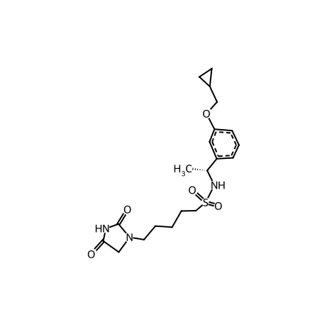 C[C@@H](NS(=O)(=O)CCCCCN1CC(=O)NC1=O)c1cccc(OCC2CC2)c1